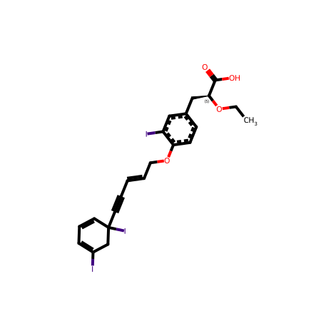 CCO[C@@H](Cc1ccc(OCC=CC#CC2(I)C=CC=C(I)C2)c(I)c1)C(=O)O